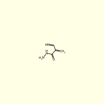 C=C(C=N)C(=O)NN